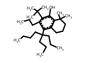 CCC[C]C(CCC)(CCC)c1c(CCC)c(C(C)(C)C)c(O)c2c1CCCC2(C)C